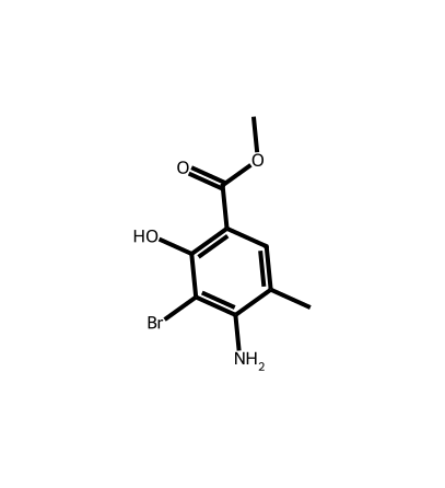 COC(=O)c1cc(C)c(N)c(Br)c1O